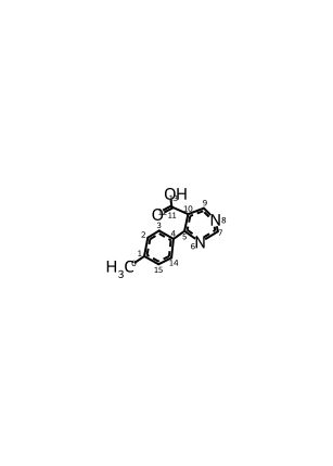 Cc1ccc(-c2ncncc2C(=O)O)cc1